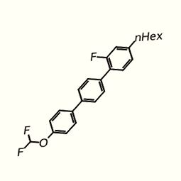 CCCCCCc1ccc(-c2ccc(-c3ccc(OC(F)F)cc3)cc2)c(F)c1